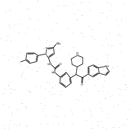 Cc1ccc(-n2nc(C(C)(C)C)cc2NC(=O)Nc2cccc(C(C(=O)c3ccc4[nH]ccc4c3)C3CCNCC3)c2)cc1